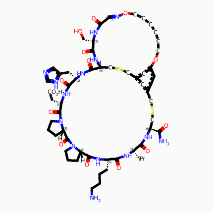 CC(C)[C@@H]1NC(=O)[C@H](CCCCN)NC(=O)[C@@H]2CCCN2C(=O)[C@@H]2CCCN2C(=O)[C@H](CC(=O)O)NC(=O)[C@H](Cc2cnc[nH]2)NC(=O)[C@@H]2CSCc3cc(cc(c3)OCCCCCCO/N=C/C(=O)N[C@@H](CO)C(=O)N2)CSC[C@@H](C(N)=O)NC1=O